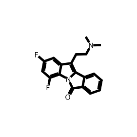 CN(C)CCc1c2n(c3c(F)cc(F)cc13)C(=O)c1ccccc1-2